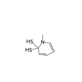 CN1C=CC=CC1(S)S